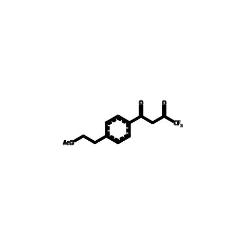 CC(=O)OCCc1ccc(C(=O)CC(=O)C(F)(F)F)cc1